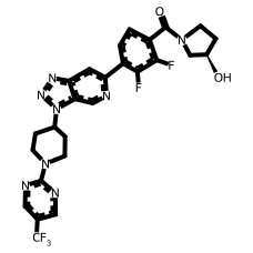 O=C(c1ccc(-c2cc3nnn(C4CCN(c5ncc(C(F)(F)F)cn5)CC4)c3cn2)c(F)c1F)N1CC[C@@H](O)C1